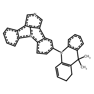 CC1(C)C2=C(C=CCC2)N(c2ccc3c(c2)c2cncc4c5ccccc5n3c42)c2ccccc21